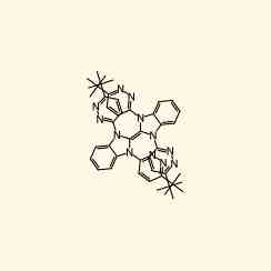 CC(C)(C)c1ccc(N2C(=C3N(c4ccc(C(C)(C)C)nn4)c4ccccc4N3c3ccc(C(C)(C)C)nn3)N(c3ccc(C(C)(C)C)nn3)c3ccccc32)nn1